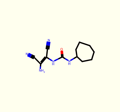 N#C/C(N)=C(\C#N)NC(=O)NC1CCCCCC1